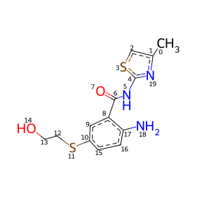 Cc1csc(NC(=O)c2cc(SCCO)ccc2N)n1